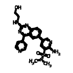 CN(C)S(=O)(=O)c1cc(-c2ccc3nc(NCCO)nc(-c4ccncc4)c3c2)cnc1N